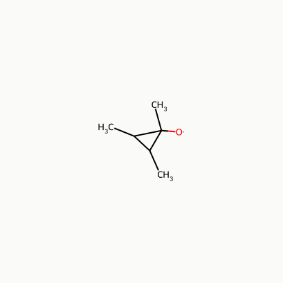 CC1C(C)C1(C)[O]